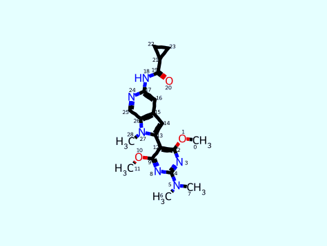 COc1nc(N(C)C)nc(OC)c1-c1cc2cc(NC(=O)C3CC3)ncc2n1C